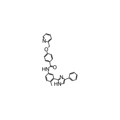 Cc1ccc(NC(=O)c2ccc(OCc3ccccn3)cc2)cc1-c1nc(-c2ccccc2)c[nH]1